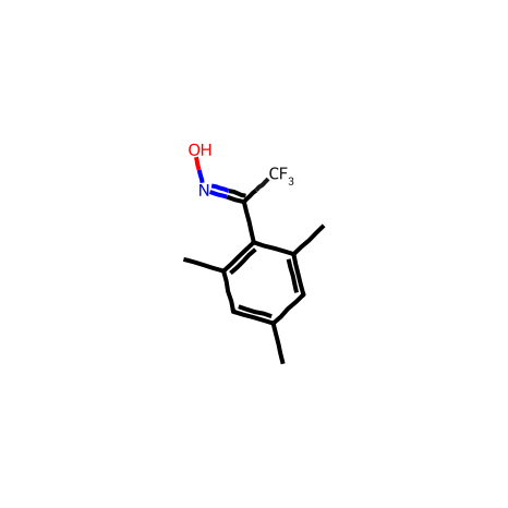 Cc1cc(C)c(C(=NO)C(F)(F)F)c(C)c1